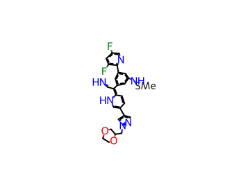 CSNc1cc(/C(C=N)=C2\C=CC(c3cnn(CC4COCCO4)c3)=CN2)cc(-c2ncc(F)cc2F)c1